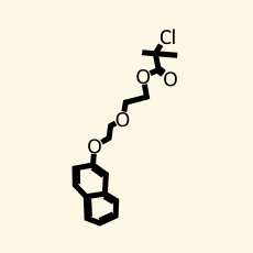 CC(C)(Cl)C(=O)OCCOCCOc1ccc2ccccc2c1